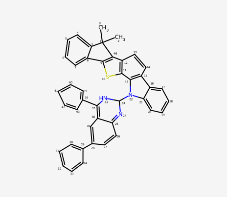 CC1(C)c2ccccc2-c2sc3c(ccc4c5ccccc5n(C5N=c6ccc(-c7ccccc7)cc6=C(c6ccccc6)N5)c43)c21